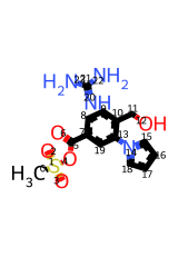 CS(=O)(=O)OC(=O)c1ccc(CO)c(-n2cccc2)c1.N=C(N)N